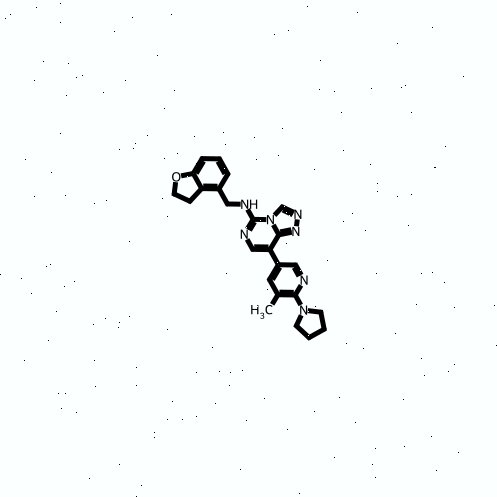 Cc1cc(-c2cnc(NCc3cccc4c3CCO4)n3cnnc23)cnc1N1CCCC1